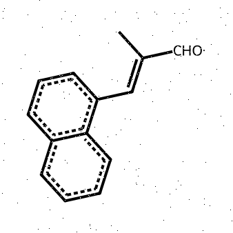 CC([C]=O)=Cc1cccc2ccccc12